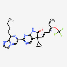 C=C/C(=C\C=C\C1(C2CC2)C(=O)Nc2nc(-c3cn4ccnc4c(CCCC)n3)ncc21)OC(F)(F)F